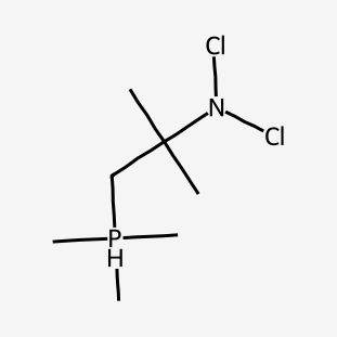 CC(C)(C[PH](C)(C)C)N(Cl)Cl